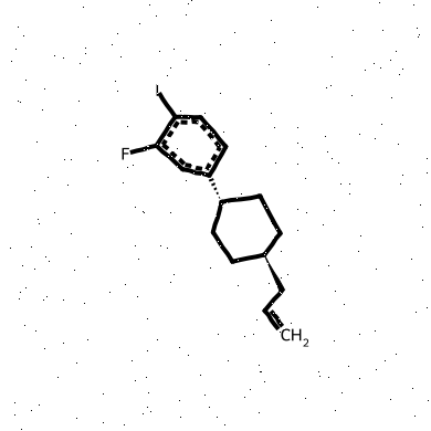 C=CC[C@H]1CC[C@H](c2ccc(I)c(F)c2)CC1